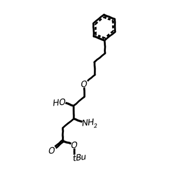 CC(C)(C)OC(=O)CC(N)C(O)COCCCc1ccccc1